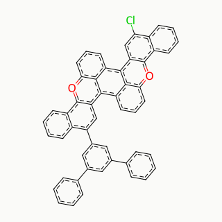 Clc1cc2c(oc3cccc4c3c2c2cccc3oc5c6ccccc6c(-c6cc(-c7ccccc7)cc(-c7ccccc7)c6)cc5c4c32)c2ccccc12